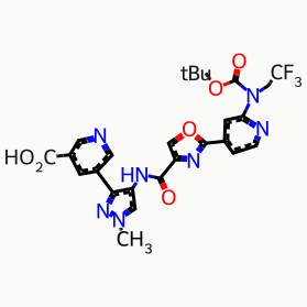 Cn1cc(NC(=O)c2coc(-c3ccnc(N(CC(F)(F)F)C(=O)OC(C)(C)C)c3)n2)c(-c2cncc(C(=O)O)c2)n1